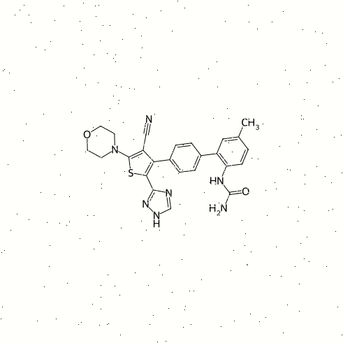 Cc1ccc(NC(N)=O)c(-c2ccc(-c3c(-c4nc[nH]n4)sc(N4CCOCC4)c3C#N)cc2)c1